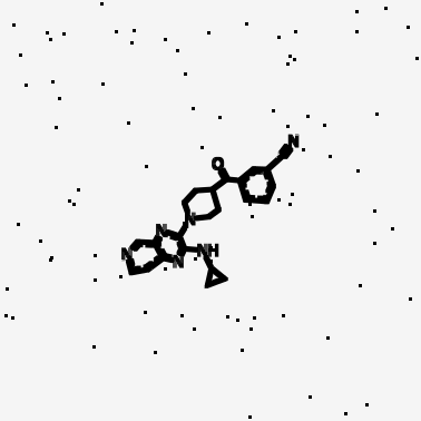 N#Cc1cccc(C(=O)C2CCN(c3nc4cnccc4nc3NC3CC3)CC2)c1